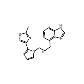 Cc1nc(-c2nccn2C[C@@H](C)Cc2ccnc3[nH]cnc23)cs1